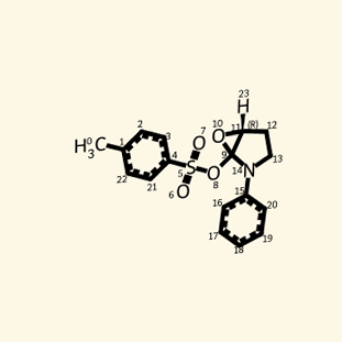 Cc1ccc(S(=O)(=O)OC23O[C@@H]2CCN3c2ccccc2)cc1